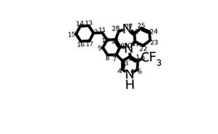 FC(F)(F)C1=C2C(=CNC1)C1CCC(CC3CCCCC3)C3=C1N2C1CCC=CC1=NC3